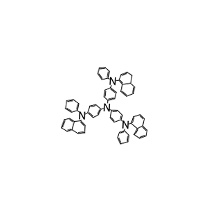 C1=CC2=C(N(c3ccccc3)c3ccc(N(c4ccc(N(c5ccccc5)c5cccc6ccccc56)cc4)c4ccc(N(c5ccccc5)c5cccc6ccccc56)cc4)cc3)C=CCC2C=C1